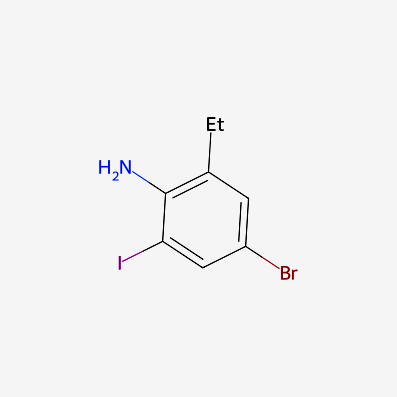 CCc1cc(Br)cc(I)c1N